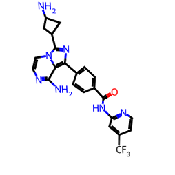 Nc1nccn2c(C3CC(N)C3)nc(-c3ccc(C(=O)Nc4cc(C(F)(F)F)ccn4)cc3)c12